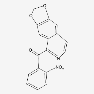 O=C(c1ccccc1[N+](=O)[O-])c1nccc2cc3c(cc12)OCO3